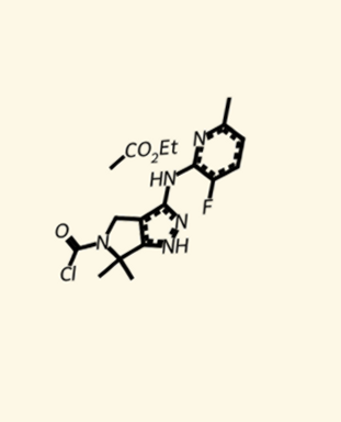 CCOC(C)=O.Cc1ccc(F)c(Nc2n[nH]c3c2CN(C(=O)Cl)C3(C)C)n1